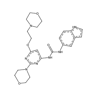 O=C(Nc1ccc2[nH]ccc2c1)Nc1cc(OCCN2CCOCC2)nc(N2CCOCC2)n1